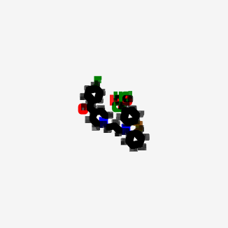 Cl.O.O=C(c1ccc(F)cc1)C1CCN(CCCN2c3ccccc3Sc3ccc(Cl)cc32)CC1